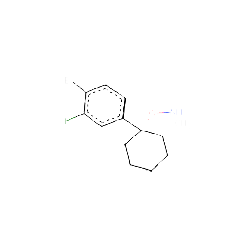 CCc1ccc([C@]2(ON)CCCC[C@H]2C)cc1Cl